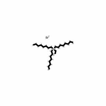 CCCCCCCC[N+](CC)(CCCCCCCC)CCCCCCCC.[Br-]